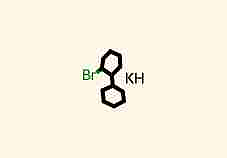 BrC1CCCCC1C1CCCCC1.[KH]